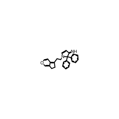 N=C1C=CN(CCC2=C3C=COC=C3CC2)C1(c1ccccc1)c1ccccc1